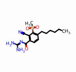 CCCCCCc1ccc(C(=O)N=C(N)N)c(C#N)c1S(C)(=O)=O